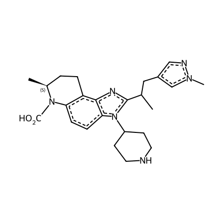 CC(Cc1cnn(C)c1)c1nc2c3c(ccc2n1C1CCNCC1)N(C(=O)O)[C@@H](C)CC3